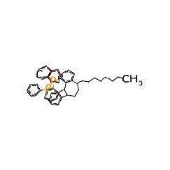 CCCCCCCCC1CCC2c3cccc(P(c4ccccc4)c4ccccc4)c3C2c2c1cccc2P(c1ccccc1)c1ccccc1